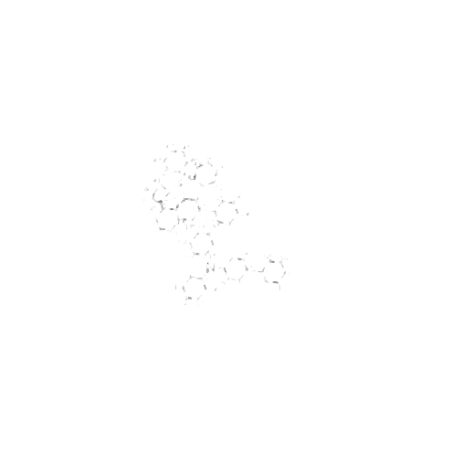 c1ccc(-c2ccc(N(c3ccccc3)c3ccc(-c4c(-c5ccccc5)c5c(c6ccccc46)C4(c6ccccc6-c6ccccc64)c4ccccc4-5)cc3)cc2)cc1